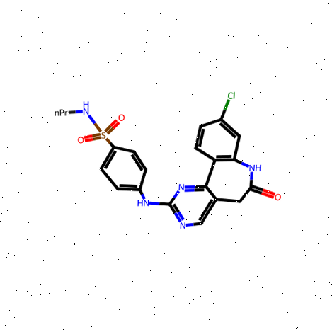 CCCNS(=O)(=O)c1ccc(Nc2ncc3c(n2)-c2ccc(Cl)cc2NC(=O)C3)cc1